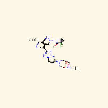 CNc1ncc(-c2nc3ccc(N4CC5CN(C)CC(C4)O5)cn3n2)c2cc(NC(=O)C3(F)CC3)ncc12